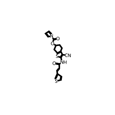 N#Cc1c(NC(=O)C=Cc2ccsc2)sc2c1CCC(OC(=O)n1cccc1)C2